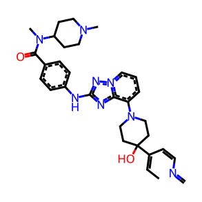 C=N/C=C\C(=C/C)C1(O)CCN(c2cccn3nc(Nc4ccc(C(=O)N(C)C5CCN(C)CC5)cc4)nc23)CC1